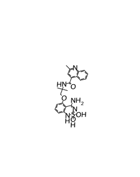 Cc1cc(C(=O)NC(C)(C)COc2cccc3c2C(N)=NS(O)(O)N3)c2ccccc2n1